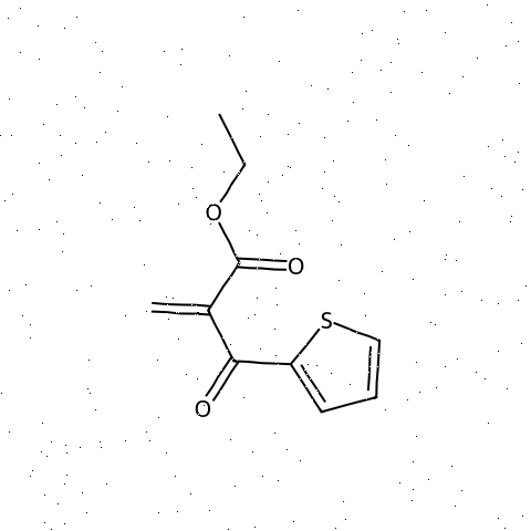 C=C(C(=O)OCC)C(=O)c1cccs1